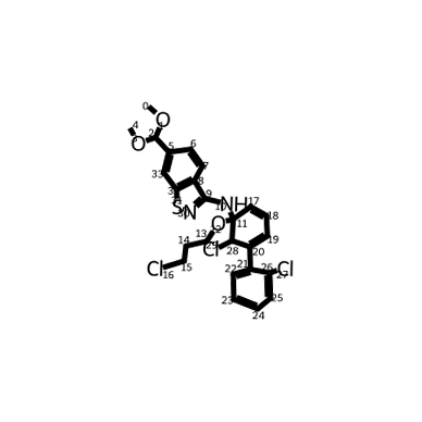 COC(OC)c1ccc2c(NC3(OCCCCl)C=CC=C(c4ccccc4Cl)C3Cl)nsc2c1